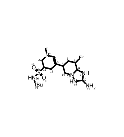 CN1C=C(C2CC(F)C3NC(N)NN3C2)CC(S(=O)(=O)NC(C)(C)C)C1